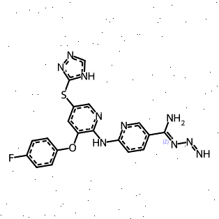 N=N/N=C(\N)c1ccc(Nc2ncc(Sc3nnc[nH]3)cc2Oc2ccc(F)cc2)nc1